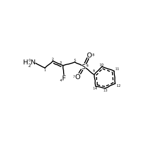 NCC=C(F)CS(=O)(=O)c1ccccc1